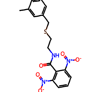 Cc1cccc(CSCCNC(=O)c2c([N+](=O)[O-])cccc2[N+](=O)[O-])c1